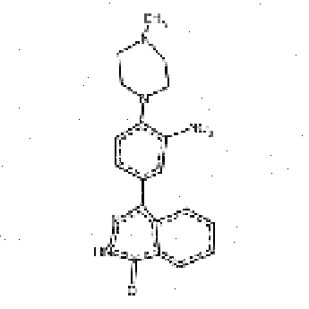 CN1CCN(c2ccc(-c3n[nH]c(=O)c4ccccc34)cc2[N+](=O)[O-])CC1